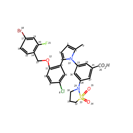 Cc1ccc(-c2cc(Cl)ccc2OCc2ccc(Br)cc2F)n1-c1cc(C(=O)O)cc(N2CCCS2(=O)=O)c1